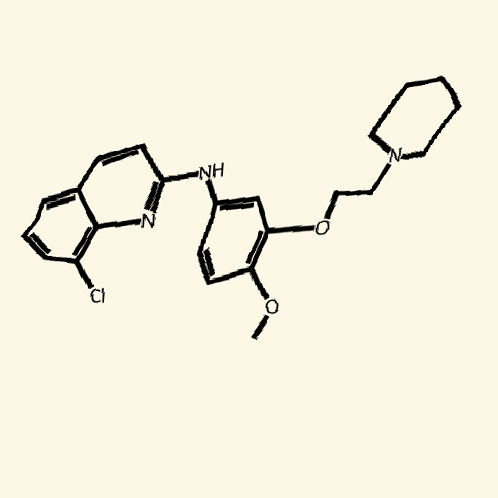 COc1ccc(Nc2ccc3cccc(Cl)c3n2)cc1OCCN1CCCCC1